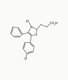 CCN1C(c2ccccc2)=C(c2ccc(Cl)cc2)SC1CCC(=O)O